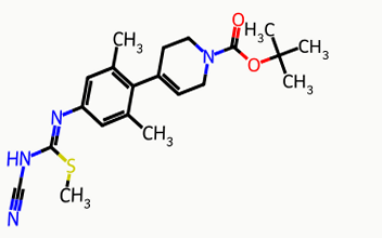 CS/C(=N\c1cc(C)c(C2=CCN(C(=O)OC(C)(C)C)CC2)c(C)c1)NC#N